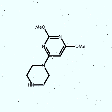 COc1cc(N2CCNCC2)nc(OC)n1